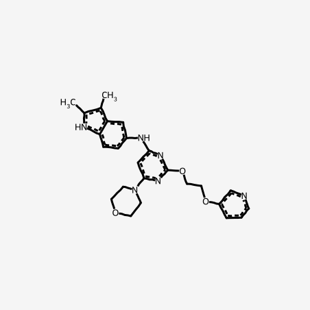 Cc1[nH]c2ccc(Nc3cc(N4CCOCC4)nc(OCCOc4cccnc4)n3)cc2c1C